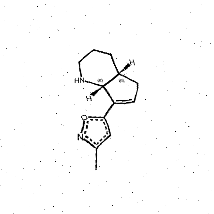 Cc1cc(C2=CC[C@H]3CCCN[C@@H]23)on1